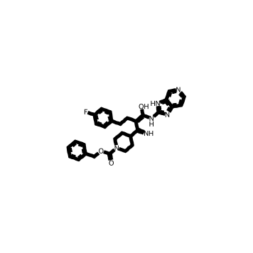 N=C(/C(CCc1ccc(F)cc1)=C(/O)Nc1nc2ccncc2[nH]1)C1CCN(C(=O)OCc2ccccc2)CC1